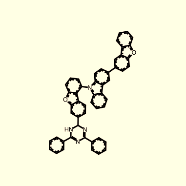 c1ccc(C2=NC(c3ccc4c(c3)oc3cccc(-n5c6ccccc6c6cc(-c7ccc8oc9ccccc9c8c7)ccc65)c34)NC(c3ccccc3)=N2)cc1